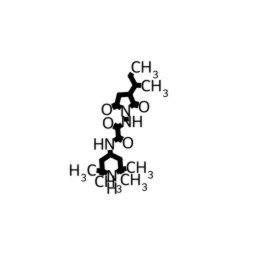 CCC(C)C1CC(=O)N(NC(=O)C(=O)NC2CC(C)(C)NC(C)(C)C2)C1=O